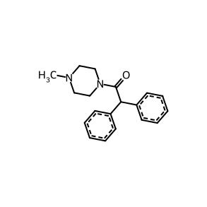 CN1CCN(C(=O)C(c2ccccc2)c2ccccc2)CC1